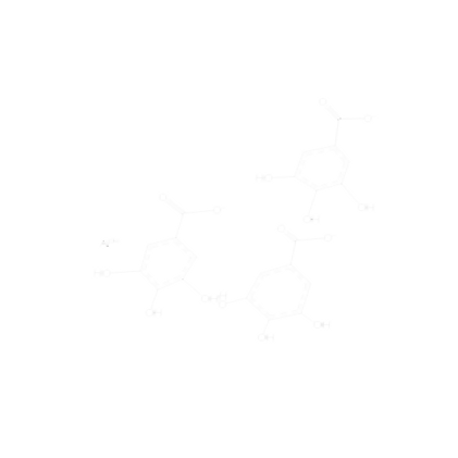 O=C([O-])c1cc(O)c(O)c(O)c1.O=C([O-])c1cc(O)c(O)c(O)c1.O=C([O-])c1cc(O)c(O)c(O)c1.[Al+3]